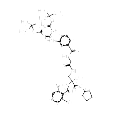 CC(C)(C)OC(=O)/N=C(\NC(=O)OC(C)(C)C)Nc1cccc(C(=O)NCC(=O)NC[C@@](O)(NC(=O)c2c(Cl)cccc2Cl)C(=O)OC2CCCC2)c1